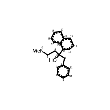 CNCCC(O)(Cc1ccccc1)c1cccc2ccccc12